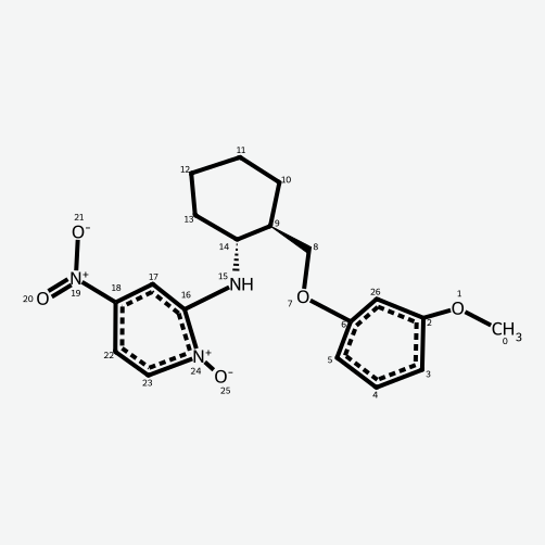 COc1cccc(OC[C@@H]2CCCC[C@H]2Nc2cc([N+](=O)[O-])cc[n+]2[O-])c1